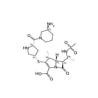 C[C@@H](NS(C)(=O)=O)[C@H]1C(=O)N2C(C(=O)O)=C(S[C@@H]3CN[C@H](C(=O)N4CCC[C@H](N)C4)C3)[C@H](C)[C@H]12